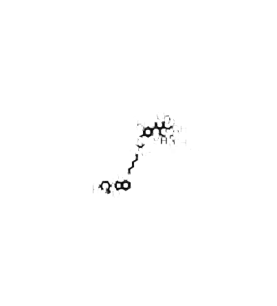 CNC(=O)N1CCc2c(-c3cc(OC)c(CN4CC(NC(=O)CCCCCOc5cccc6c5C(=O)N(C5CCC(=O)NC5=O)C6=O)C4)cc3OC)cn(C)c(=O)c2C1C(=O)O